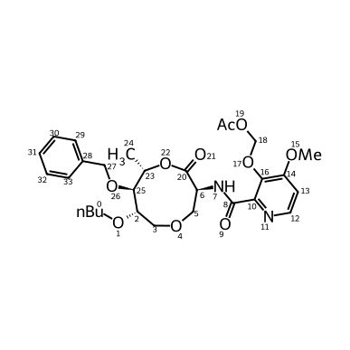 CCCCO[C@H]1COC[C@H](NC(=O)c2nccc(OC)c2OCOC(C)=O)C(=O)O[C@@H](C)[C@@H]1OCc1ccccc1